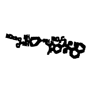 CCCCCCCCOC(=O)NC(=N)c1ccc(NCc2nc3cc(N(CC(=O)OCC)S(=O)(=O)c4cccc5cccnc45)ccc3n2C)cc1